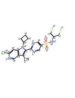 N#Cc1c(-c2ncc(S(=O)(=O)NC(CF)CF)cn2)n(C2CCC2)c2cc(Cl)ncc12